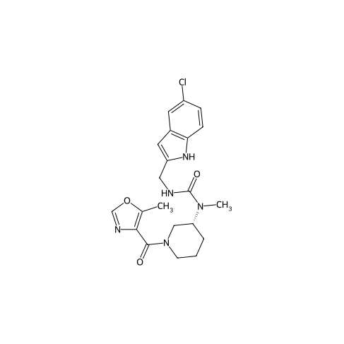 Cc1ocnc1C(=O)N1CCC[C@@H](N(C)C(=O)NCc2cc3cc(Cl)ccc3[nH]2)C1